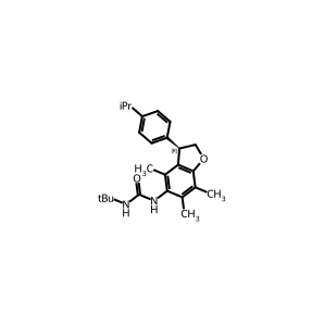 Cc1c(C)c2c(c(C)c1NC(=O)NC(C)(C)C)[C@@H](c1ccc(C(C)C)cc1)CO2